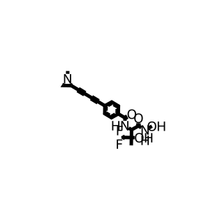 CN1CC1C#CC#Cc1ccc(C(=O)NC(C(=O)NO)C(C)(O)C(F)F)cc1